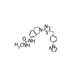 CNC(=O)Nc1ccc2c(c1)CN(c1ncc(Cc3ccc(-n4cccn4)cc3)s1)CC2